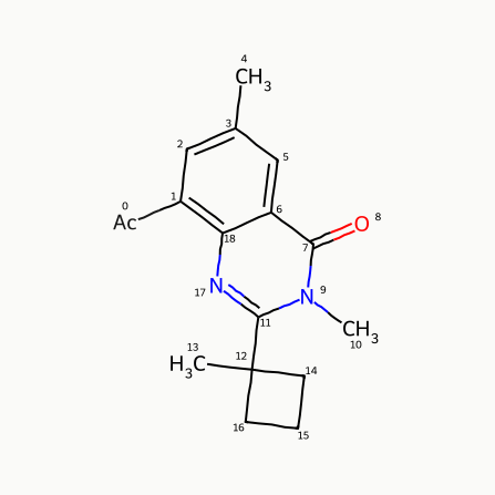 CC(=O)c1cc(C)cc2c(=O)n(C)c(C3(C)CCC3)nc12